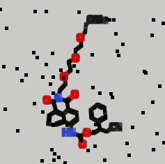 COCCOCCOCCOCCN1C(=O)c2cccc3c(NC(=O)OCC(CC#N)c4ccccc4)ccc(c23)C1=O